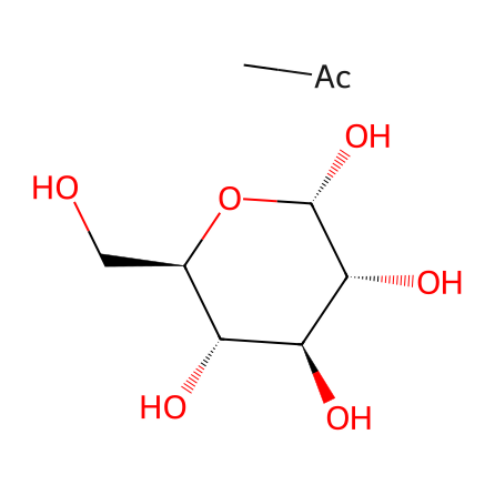 CC(C)=O.OC[C@H]1O[C@H](O)[C@H](O)[C@@H](O)[C@@H]1O